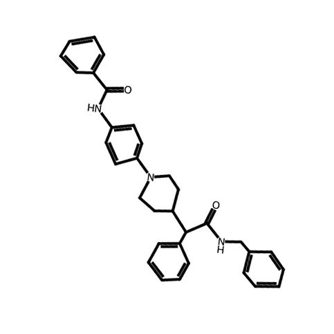 O=C(Nc1ccc(N2CCC(C(C(=O)NCc3ccccc3)c3ccccc3)CC2)cc1)c1ccccc1